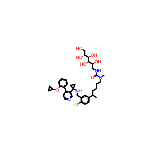 CC(CCCCN(C)C(=O)NC[C@H](O)[C@@H](O)[C@H](O)[C@H](O)CO)c1ccc(Cl)c(CNC2(c3cnccc3-c3ccccc3OC3CC3)CC2)c1